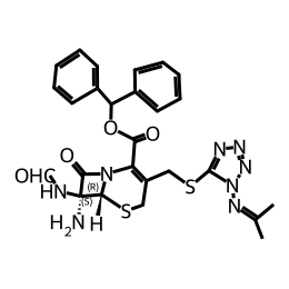 CC(C)=Nn1nnnc1SCC1=C(C(=O)OC(c2ccccc2)c2ccccc2)N2C(=O)[C@](N)(NC=O)[C@H]2SC1